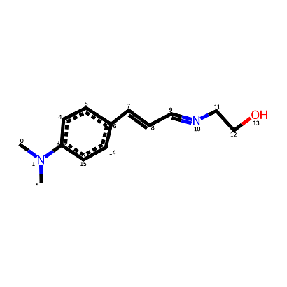 CN(C)c1ccc(C=CC=NCCO)cc1